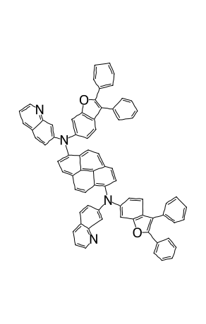 c1ccc(-c2oc3cc(N(c4ccc5cccnc5c4)c4ccc5ccc6c(N(c7ccc8cccnc8c7)c7ccc8c(-c9ccccc9)c(-c9ccccc9)oc8c7)ccc7ccc4c5c76)ccc3c2-c2ccccc2)cc1